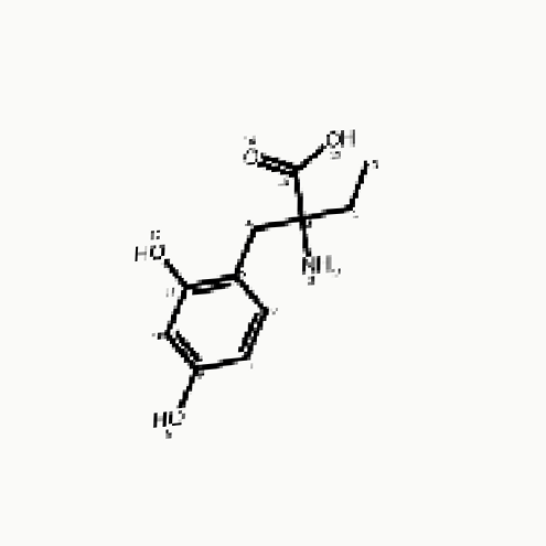 CCC(N)(Cc1ccc(O)cc1O)C(=O)O